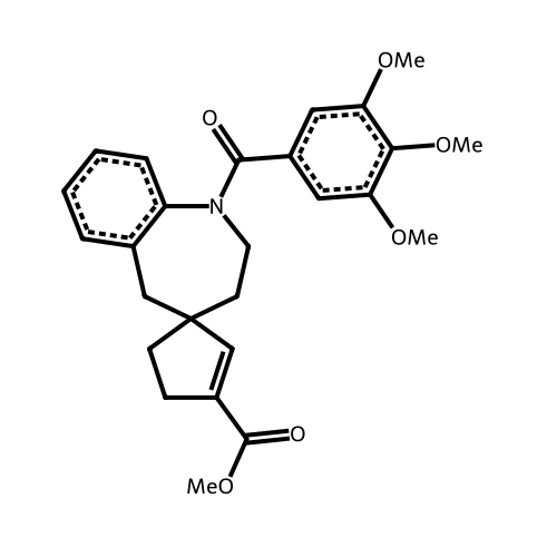 COC(=O)C1=CC2(CC1)CCN(C(=O)c1cc(OC)c(OC)c(OC)c1)c1ccccc1C2